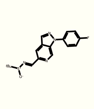 CC(C)(C)[S+]([O-])N=Cc1cc2cnn(-c3ccc(F)cc3)c2cn1